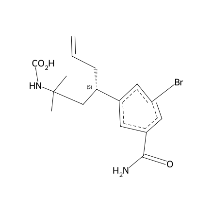 C=CC[C@@H](CC(C)(C)NC(=O)O)c1cc(Br)cc(C(N)=O)c1